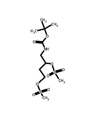 CC(C)(C)OC(=O)NCC(CCOS(C)(=O)=O)OS(C)(=O)=O